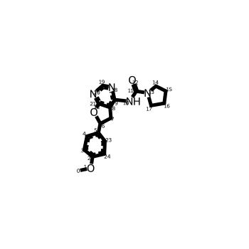 COc1ccc(C2Cc3c(NC(=O)N4CCCC4)ncnc3O2)cc1